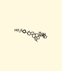 C=C(C)[C@@H]1CC[C@]2(NCCN3C4CCC3CC(C)(O)C4)CC[C@]3(C)[C@H](CC[C@@]4(C)[C@@]3(C)CCC3C(C)(C)C(c5ccc(C(=O)O)cc5)=CC[C@@]34C)C12